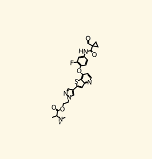 CC(C(=O)OCCn1cc(-c2cc3nccc(Oc4ccc(NC(=O)C5(C=O)CC5)cc4F)c3s2)cn1)N(C)C